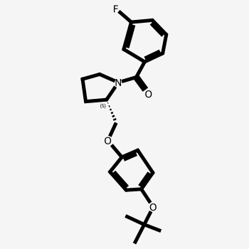 CC(C)(C)Oc1ccc(OC[C@@H]2CCCN2C(=O)c2cccc(F)c2)cc1